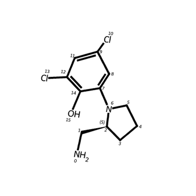 NC[C@@H]1CCCN1c1cc(Cl)cc(Cl)c1O